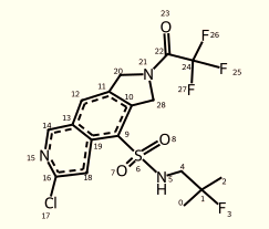 CC(C)(F)CNS(=O)(=O)c1c2c(cc3cnc(Cl)cc13)CN(C(=O)C(F)(F)F)C2